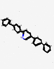 c1ccc(-c2ccc(-c3ccc(-c4ccc(-c5ccccc5)cc4)nc3)cc2)cc1